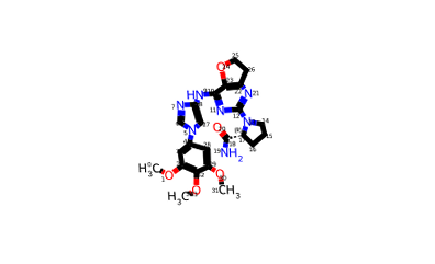 COc1cc(-n2cnc(Nc3nc(N4CCC[C@@H]4C(N)=O)nc4c3OCC4)c2)cc(OC)c1OC